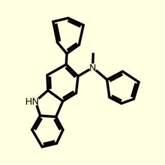 CN(c1ccccc1)c1cc2c(cc1-c1ccccc1)[nH]c1ccccc12